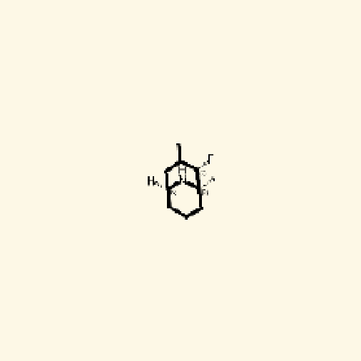 CC1C[C@@H]2CCC[C@@](C)(N2)[C@H]1F